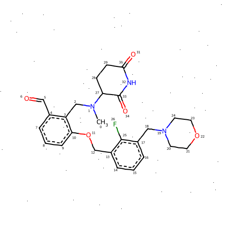 CN(Cc1c(C=O)cccc1OCc1cccc(CN2CCOCC2)c1F)C1CCC(=O)NC1=O